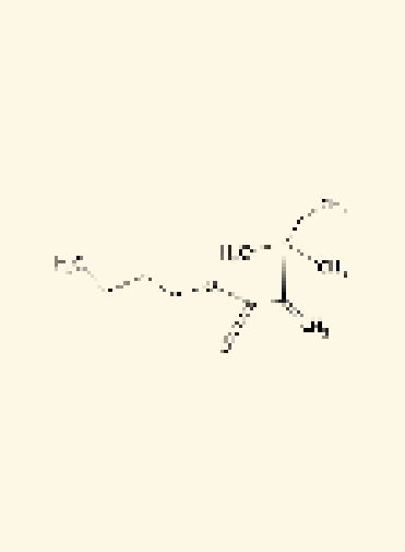 C=C(C(=O)OCCCC)C(C)(C)CC